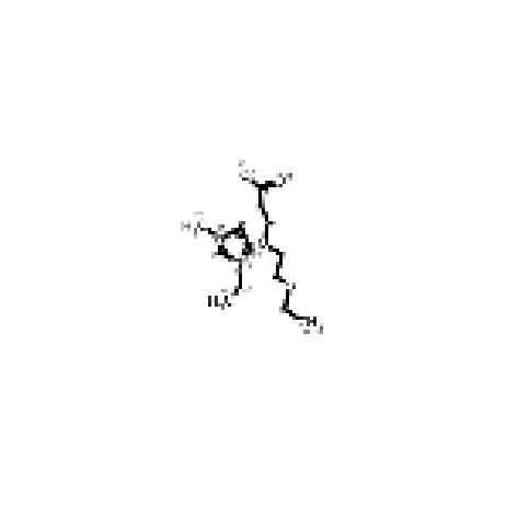 CCOCCOCCC(=O)[O-].CC[n+]1ccn(C)c1